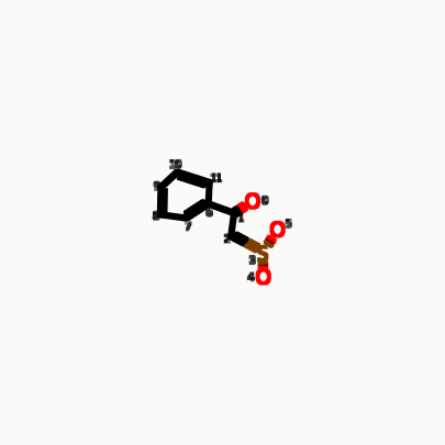 O=C(C=S(=O)=O)c1ccccc1